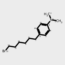 CN(C)c1ccc(CCCCCCBr)cc1